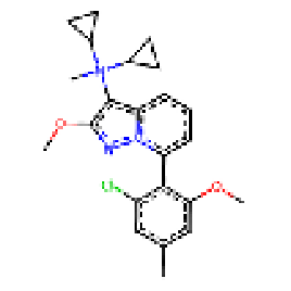 COc1cc(C)cc(Cl)c1-c1cccc2c([N+](C)(C3CC3)C3CC3)c(OC)nn12